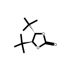 CC(C)(C)[C@@H]1OC(=O)O[C@H]1C(C)(C)C